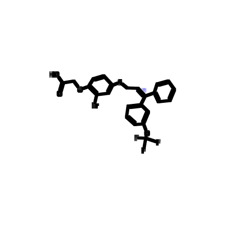 O=C(O)COc1ccc(SC/C=C(/c2ccccc2)c2cccc(OC(F)(F)F)c2)cc1Br